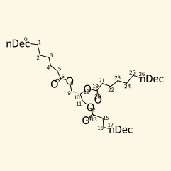 CCCCCCCCCCCCCCCC(=O)OC[C@@H](COC(=O)CCCCCCCCCCCC)OC(=O)CCCCCCCCCCCCCCC